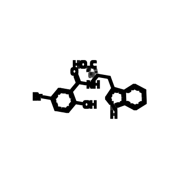 O=C(N[C@@H](Cc1c[nH]c2ccccc12)C(=O)O)c1cc(Br)ccc1O